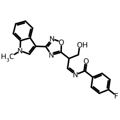 Cn1cc(-c2noc(C(/C=N\C(=O)c3ccc(F)cc3)CO)n2)c2ccccc21